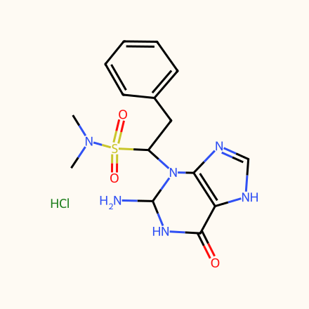 CN(C)S(=O)(=O)C(Cc1ccccc1)N1c2nc[nH]c2C(=O)NC1N.Cl